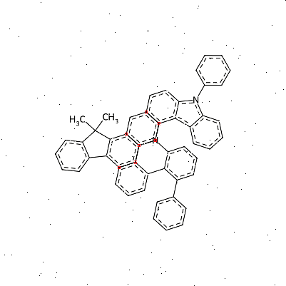 CC1(C)c2ccccc2-c2ccc(N(c3cccc(-c4ccccc4)c3-c3ccccc3-c3ccccc3)c3cccc4c3c3ccccc3n4-c3ccccc3)cc21